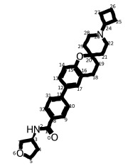 O=C(N[C@H]1CCOC1)c1ccc(-c2ccc3c(c2)CCC2(CCN(C4CCC4)CC2)O3)cc1